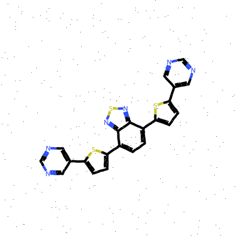 c1ncc(-c2ccc(-c3ccc(-c4ccc(-c5cncnc5)s4)c4nsnc34)s2)cn1